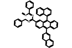 C=N/C(=N\C(=N/Cc1ccccc1)c1ccc2c(-c3ccc4ccccc4c3)c3ccccc3c(-c3cccc4ccccc34)c2c1)c1ccccc1